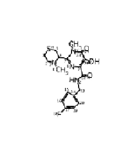 CN1CCSCC1c1nc(C(=O)NCc2ccc(F)cc2)c(O)c(=O)n1C